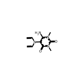 C=CN(C=C)c1c(N)n(C)c(=O)n(C)c1=O